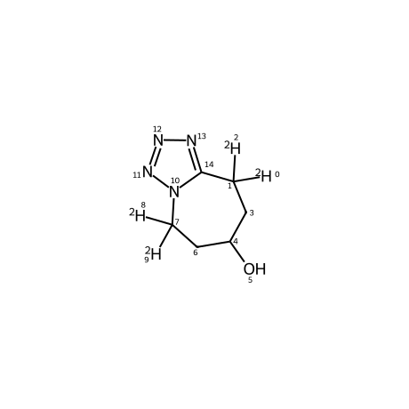 [2H]C1([2H])CC(O)CC([2H])([2H])n2nnnc21